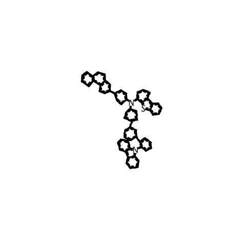 c1cc(-c2ccc(N(c3ccc(-c4ccc5c(ccc6ccccc65)c4)cc3)c3cccc4c3sc3ccccc34)cc2)cc(-c2ccccc2-n2c3ccccc3c3ccccc32)c1